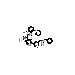 Fc1c(-c2cncc(CNCc3ccccc3)c2)ncc2[nH]nc(-c3nc4c(N5CCCCC5)cccc4[nH]3)c12